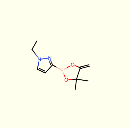 C=C1OB(c2ccn(CC)n2)OC1(C)C